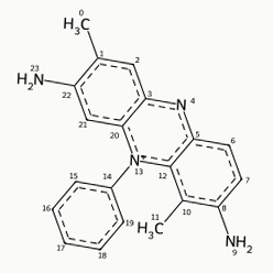 Cc1cc2nc3ccc(N)c(C)c3[n+](-c3ccccc3)c2cc1N